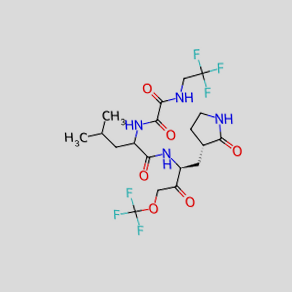 CC(C)CC(NC(=O)C(=O)NCC(F)(F)F)C(=O)N[C@@H](C[C@@H]1CCNC1=O)C(=O)COC(F)(F)F